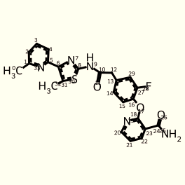 Cc1cccc(-c2nc(NC(=O)Cc3ccc(Oc4ncccc4C(N)=O)c(F)c3)sc2C)n1